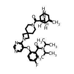 C=C1C[C@@H]2CC[C@H]1[C@@H](C(=O)N1CCC3(CC1)CN(c1ncncc1Oc1ccc(F)cc1C(=O)N(C(C)C)C(C)C)C3)N2